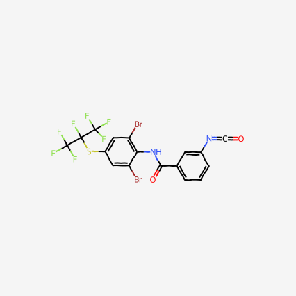 O=C=Nc1cccc(C(=O)Nc2c(Br)cc(SC(F)(C(F)(F)F)C(F)(F)F)cc2Br)c1